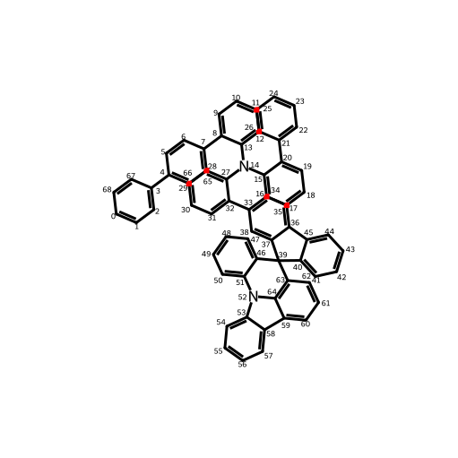 c1ccc(-c2ccc(-c3ccccc3N(c3ccccc3-c3ccccc3)c3ccccc3-c3ccc4c(c3)C3(c5ccccc5-4)c4ccccc4-n4c5ccccc5c5cccc3c54)cc2)cc1